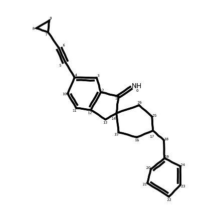 N=C1c2cc(C#CC3CC3)ccc2CC12CCC(Cc1ccccc1)CC2